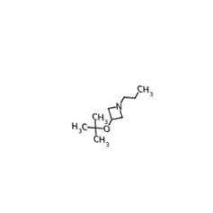 CCCN1CC(OC(C)(C)C)C1